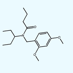 CCCC(=O)N(Cc1ccc(OC)cc1OC)C(CC)CC